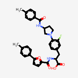 Cc1ccc(C(=O)NC2CCN(c3ccc(CC(NC(=O)c4ccc(-c5ccc(C)cc5)o4)C(=O)O)cc3F)C2)cc1